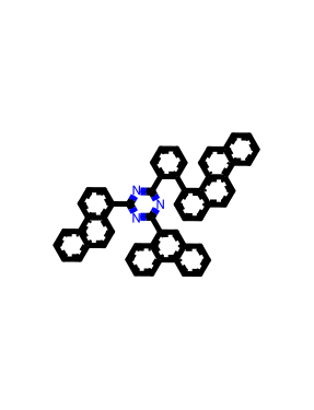 c1ccc(-c2cccc3ccc4c5ccccc5ccc4c23)c(-c2nc(-c3cccc4c3ccc3ccccc34)nc(-c3cc4ccccc4c4ccccc34)n2)c1